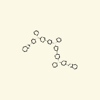 c1ccc(N(c2ccc(-c3ccc(N(c4ccccc4)c4ccc(-c5nc6ccccc6s5)cc4)cc3)cc2)c2ccc(-c3ccc(N(c4ccccc4)c4ccc(-c5nc6ccccc6s5)cc4)cc3)cc2)cc1